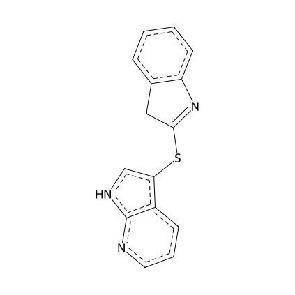 c1ccc2c(c1)CC(Sc1c[nH]c3ncccc13)=N2